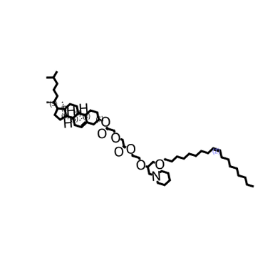 CCCCCCCC/C=C\CCCCCCCCOCC(CN1CCCCC1)OCCOC(=O)COCC(=O)O[C@H]1CC[C@@]2(C)C(=CC[C@@H]3[C@@H]2CC[C@]2(C)C([C@@H](C)CCCC(C)C)CC[C@@H]32)C1